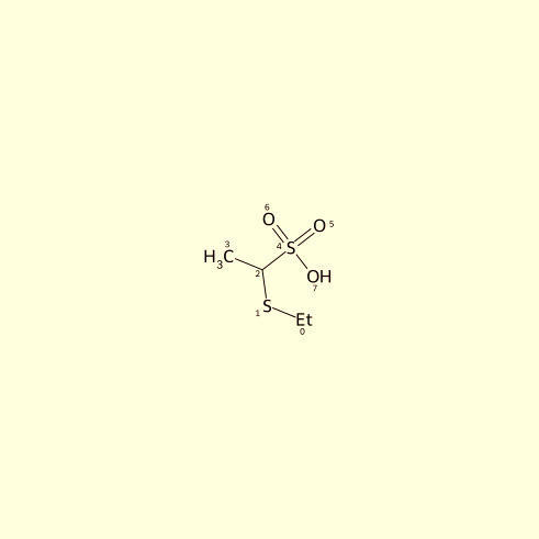 CCSC(C)S(=O)(=O)O